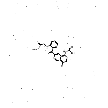 CCCCOC(=O)CNc1ccccc1C(=O)c1ccc2c(Cl)cnc(NC(=N)N)c2c1